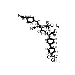 CC(C)(F)C[C@H](N[C@@H](c1ccc(-c2ccc(S(C)(=O)=O)cc2)cc1)C(F)(F)F)C(=O)N[C@H](C#N)Cc1ccc(C#N)cc1